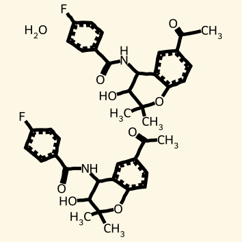 CC(=O)c1ccc2c(c1)C(NC(=O)c1ccc(F)cc1)C(O)C(C)(C)O2.CC(=O)c1ccc2c(c1)C(NC(=O)c1ccc(F)cc1)C(O)C(C)(C)O2.O